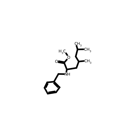 COC(=O)C(CC(C)CC(C)C)NCc1ccccc1